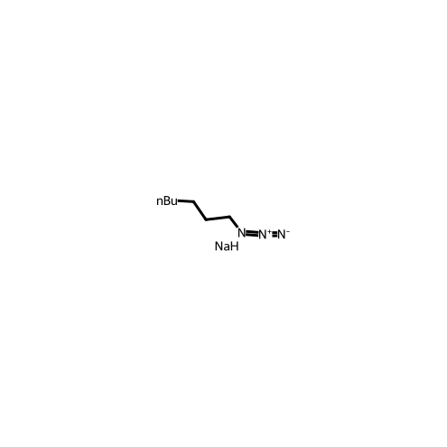 CCCCCCCN=[N+]=[N-].[NaH]